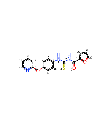 O=C(NC(=S)Nc1ccc(Oc2ccccn2)cc1)c1ccco1